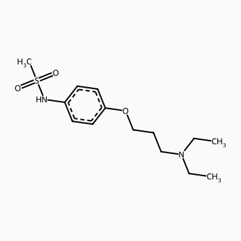 CCN(CC)CCCOc1ccc(NS(C)(=O)=O)cc1